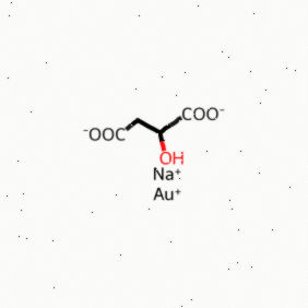 O=C([O-])CC(O)C(=O)[O-].[Au+].[Na+]